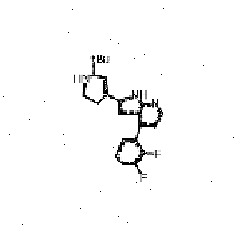 CC(C)(C)C1C=C(c2cc3c(-c4cccc(F)c4F)ccnc3[nH]2)CCN1